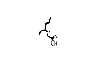 CCCC(CC)OCC(=O)O